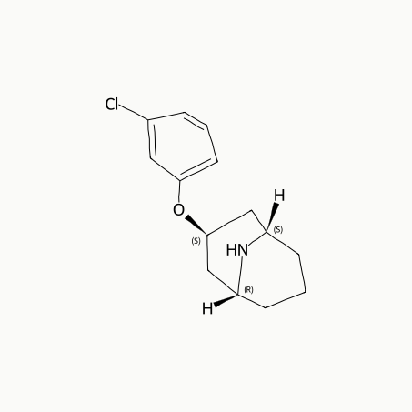 Clc1cccc(O[C@@H]2C[C@H]3CCC[C@@H](C2)N3)c1